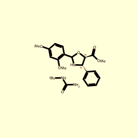 CC(C)(C)NC(N)=O.COC(=O)[C@@H]1OC(c2ccc(OC)cc2OC)N[C@H]1c1ccccc1